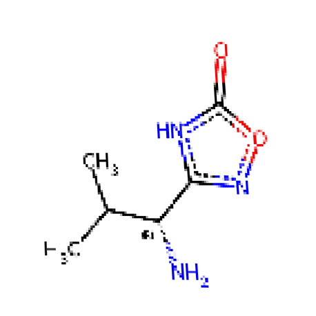 CC(C)[C@@H](N)c1noc(=O)[nH]1